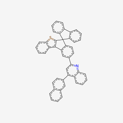 c1ccc2c(c1)-c1ccccc1C21c2ccc(-c3cc(-c4ccc5ccccc5c4)c4ccccc4n3)cc2-c2c1sc1ccccc21